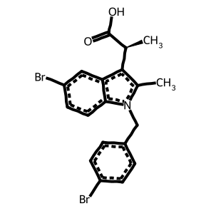 Cc1c([C@H](C)C(=O)O)c2cc(Br)ccc2n1Cc1ccc(Br)cc1